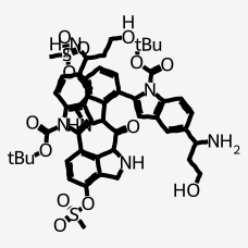 CC(C)(C)OC(=O)n1c(-c2ccc(OS(C)(=O)=O)c3c2C(C(=O)C2NCc4c(OS(C)(=O)=O)ccc(-c5cc6cc(C(N)CCO)ccc6n5C(=O)OC(C)(C)C)c42)NC3)cc2cc(C(N)CCO)ccc21